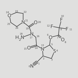 N#CC1CSC(OC(=O)C(F)(F)F)N1C(=O)CN(N)C(=O)N1CCOCC1